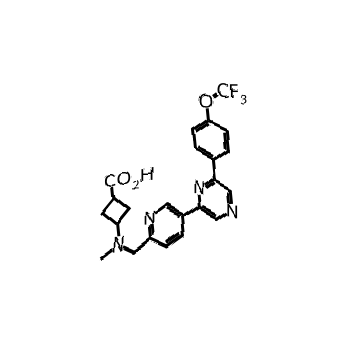 CN(Cc1ccc(-c2cncc(-c3ccc(OC(F)(F)F)cc3)n2)cn1)C1CC(C(=O)O)C1